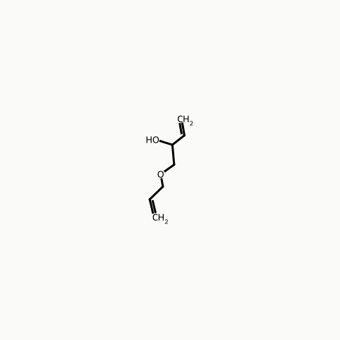 C=CCOCC(O)C=C